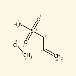 C=CCS(N)(=O)=O.CCl